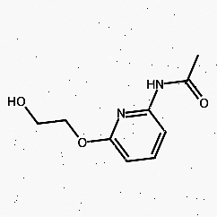 CC(=O)Nc1cccc(OCCO)n1